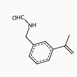 C=C(C)c1cccc(CNC=O)c1